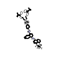 C=C(C)C(=O)OCCN(CCOC(=O)C(=C)C)S(=O)(=O)c1ccc(/N=N/c2ccc(/N=N/c3ccc4c5c(cccc35)N(C)C(C)(CCC)N4C)c3ccccc23)cc1